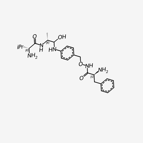 CC(C)[C@@H](N)C(=O)N[C@H](C)C(O)Nc1ccc(CONC(=O)[C@@H](N)Cc2ccccc2)cc1